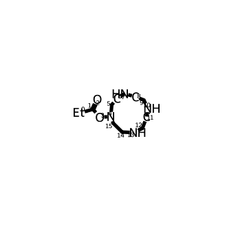 CCC(=O)ON1CCNCCNCCNCC1